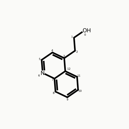 OCCc1ccnc2ccccc12